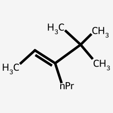 C/C=C(\CCC)C(C)(C)C